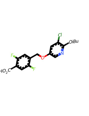 CC(C)COc1ncc(OCc2cc(F)c(C(=O)O)cc2F)cc1Cl